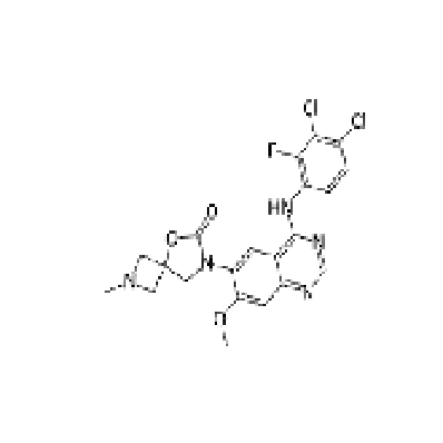 COc1cc2ncnc(Nc3ccc(Cl)c(Cl)c3F)c2cc1N1CC2(CN(C)C2)OC1=O